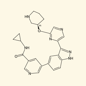 O=C(NC1CC1)c1cncc(-c2ccc3[nH]nc(-c4cncc(O[C@@H]5CCCNC5)n4)c3c2)c1